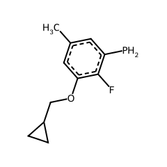 Cc1cc(P)c(F)c(OCC2CC2)c1